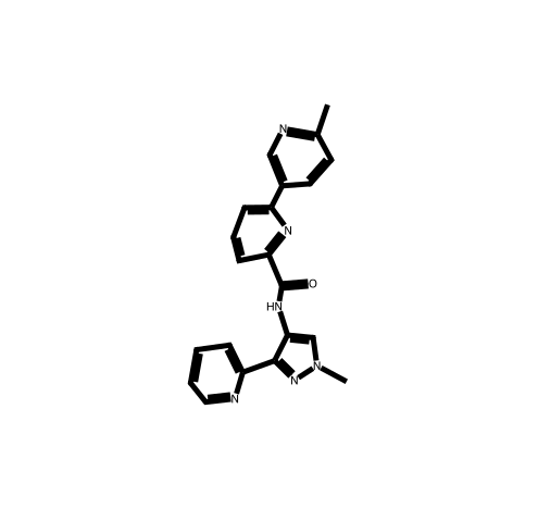 Cc1ccc(-c2cccc(C(=O)Nc3cn(C)nc3-c3ccccn3)n2)cn1